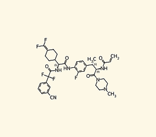 C=CC(=O)N[C@@H](C(=O)N1CCN(C)CC1)[C@@H](C)c1ccc(NC(=O)[C@@H](NC(=O)C(F)(F)c2cccc(C#N)c2)C2CCC(=C(F)F)CC2)c(F)c1